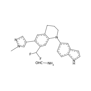 Cn1cc(-c2cc3c(cc2C(F)F)N(c2ccc4[nH]ccc4c2)CCC3)cn1.NC=O